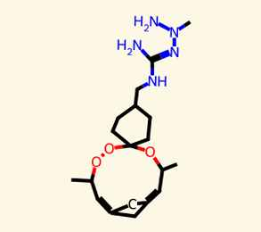 CC1C=C2CC(=CC(C)OC3(CCC(CN/C(N)=N/N(C)N)CC3)OO1)C2